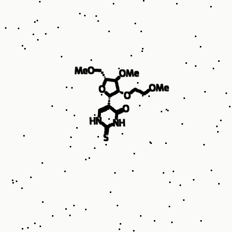 COCCO[C@H]1C(OC)[C@@H](COC)O[C@H]1c1c[nH]c(=S)[nH]c1=O